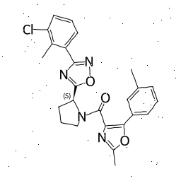 Cc1cccc(-c2oc(C)nc2C(=O)N2CCC[C@H]2c2nc(-c3cccc(Cl)c3C)no2)c1